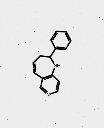 C1=Cc2cnccc2NC(c2ccccc2)C1